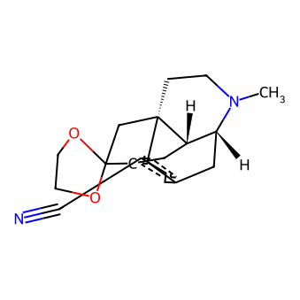 CN1CC[C@]23CC4(CC[C@H]2[C@H]1Cc1ccc(C#N)cc13)OCCO4